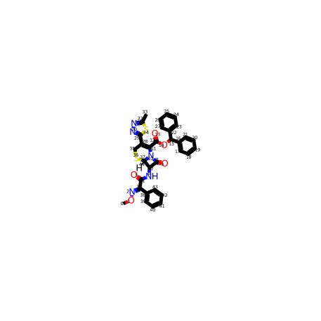 CO/N=C(/C(=O)NC1C(=O)N2C(C(=O)OC(c3ccccc3)c3ccccc3)=C(c3nnc(C)s3)CS[C@H]12)c1ccccc1